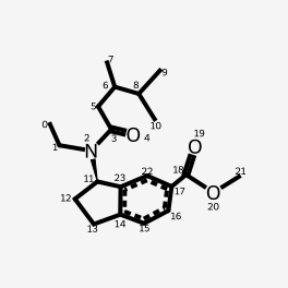 CCN(C(=O)CC(C)C(C)C)[C@@H]1CCc2ccc(C(=O)OC)cc21